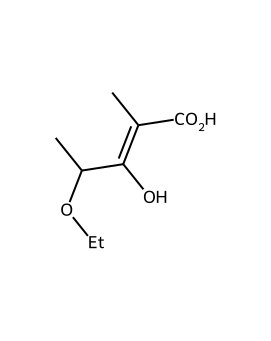 CCOC(C)C(O)=C(C)C(=O)O